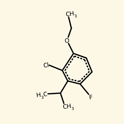 CCOc1ccc(F)c(C(C)C)c1Cl